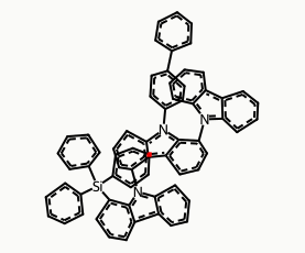 c1ccc(-c2ccc(-n3c4cccc(-n5c6ccccc6c6cccc([Si](c7ccccc7)(c7ccccc7)c7ccccc7)c65)c4c4cccc(-n5c6ccccc6c6ccccc65)c43)cc2)cc1